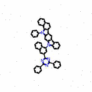 c1ccc(-c2nc(-c3ccccc3)nc(-c3cc(-n4c5ccccc5c5cc6c7ccc8ccccc8c7n(-c7ccccc7)c6cc54)c4ccccc4c3)n2)cc1